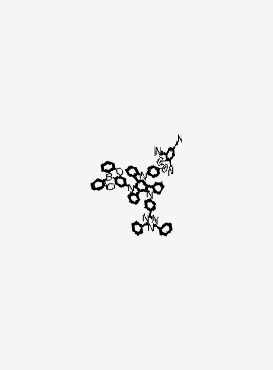 N#Cc1cc(C#N)c(S(=O)(=O)c2ccc(-n3c4ccccc4c4c3c3c5ccccc5n(-c5ccc(-c6nc(-c7ccccc7)nc(-c7ccccc7)n6)cc5)c3c3c5ccccc5n(-c5cc6c7c(c5)Oc5ccccc5B7c5ccccc5O6)c34)cc2)c(C#N)c1